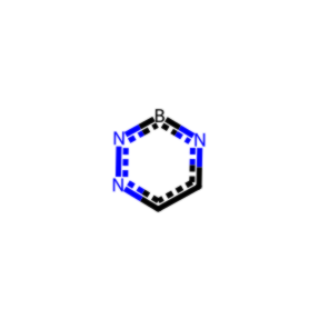 b1nccnn1